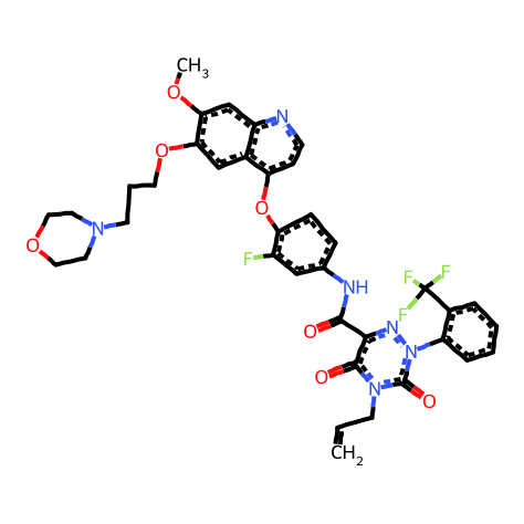 C=CCn1c(=O)c(C(=O)Nc2ccc(Oc3ccnc4cc(OC)c(OCCCN5CCOCC5)cc34)c(F)c2)nn(-c2ccccc2C(F)(F)F)c1=O